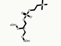 CCCCCCCCCCOC[C@H](COP(=O)([O-])OCC[N+](C)(C)C)OCCCCCCCCCC